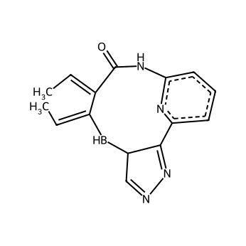 C/C=C1/BC2C=NN=C2c2cccc(n2)NC(=O)/C1=C/C